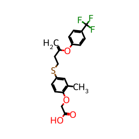 C=C(CCSc1ccc(OCC(=O)O)c(C)c1)Oc1ccc(C(F)(F)F)cc1